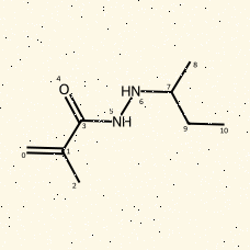 C=C(C)C(=O)NNC(C)CC